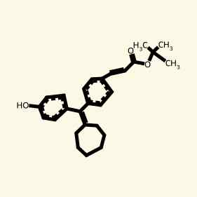 CC(C)(C)OC(=O)C=Cc1ccc(C(=C2CCCCCC2)c2ccc(O)cc2)cc1